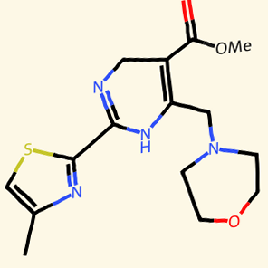 COC(=O)C1=C(CN2CCOCC2)NC(c2nc(C)cs2)=NC1